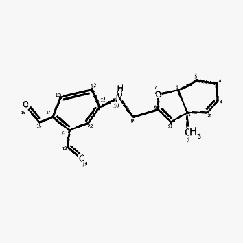 C[C@]12C=CCCC1OC(CNc1ccc(C=O)c(C=O)c1)=C2